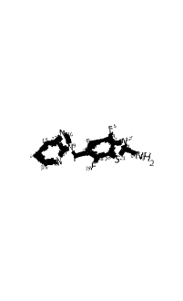 Nc1nc2c(F)cc(Cn3cnc4cccnc43)c(F)c2s1